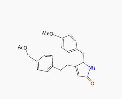 COc1ccc(C[C@@H]2NC(=O)C=C2CCc2ccc(COC(C)=O)cc2)cc1